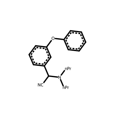 CCCN(CCC)C(C#N)c1cccc(Oc2ccccc2)c1